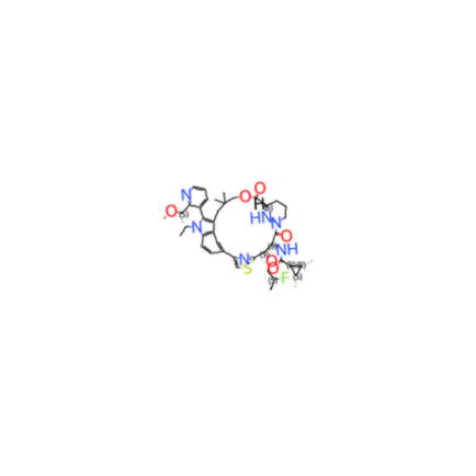 CCn1c(-c2cccnc2[C@H](C)OC)c2c3cc(ccc31)-c1csc(n1)[C@@H](OC[C@H](C)F)[C@H](NC(=O)[C@H]1[C@H](C)[C@@H]1C)C(=O)N1CCC[C@H](N1)C(=O)OCC(C)(C)C2